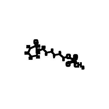 CS(=O)(=O)OCCCCCCN1CCCCC1=O